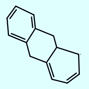 [CH]1C=CC=C2Cc3ccccc3CC12